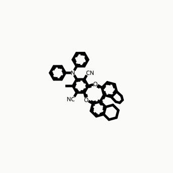 Cc1c(N(c2ccccc2)c2ccccc2)c(C#N)c2oc3ccc4c(c3c3c5c(ccc3oc2c1C#N)CCCC5)CCCC4